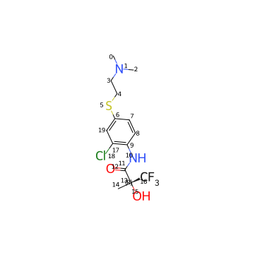 CN(C)CCSc1ccc(NC(=O)[C@@](C)(O)C(F)(F)F)c(Cl)c1